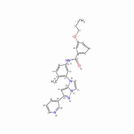 CCCOc1cccc(C(=O)Nc2ccc(C)c(-n3ccn4nc(-c5cccnc5)cc34)c2)c1